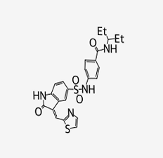 CCC(CC)NC(=O)c1ccc(NS(=O)(=O)c2ccc3c(c2)/C(=C\c2nccs2)C(=O)N3)cc1